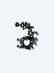 CC[C@H]1OC(=O)[C@H](C)C(=O)[C@H](C)[C@@H](O[C@@H]2O[C@H](C)C[C@H](N(C)CCC3=CN([C@H](CF)[C@H](OC)c4ccc(-c5cccnc5)cc4)NN3)[C@H]2O)[C@](C)(OC)C[C@@H](C)C(=O)[C@H](C)[C@@H](O)[C@]1(C)O